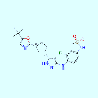 CC(C)(C)c1cnc([C@@H]2CC[C@H](c3cc(Nc4ccc5c(c4F)CS(=O)(=O)N5)n[nH]3)C2)o1